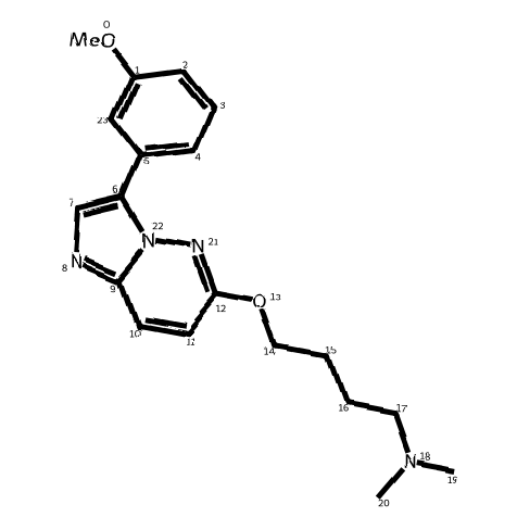 COc1cccc(-c2cnc3ccc(OCCCCN(C)C)nn23)c1